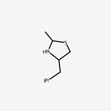 CC(C)CC1CSC(C)N1